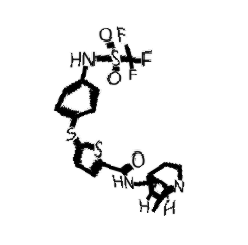 C[C@H]1[C@H](NC(=O)c2ccc(Sc3ccc(NS(=O)(=O)C(F)(F)F)cc3)s2)C2CCN1CC2